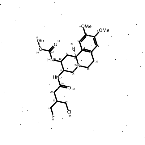 COc1cc2c(cc1OC)[C@@H]1CC(NC(=O)OC(C)(C)C)C(NC(=O)CC(CF)CCl)CN1CC2